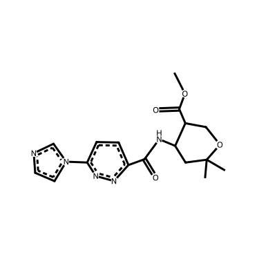 COC(=O)C1COC(C)(C)CC1NC(=O)c1ccc(-n2ccnc2)nn1